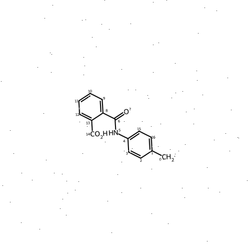 [CH2]c1ccc(NC(=O)c2ccccc2C(=O)O)cc1